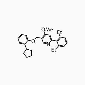 CCc1cccc(CC)c1-c1cc(OC)c(COc2ccccc2C2CCCC2)cn1